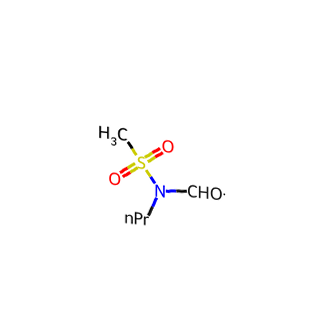 CCCN([C]=O)S(C)(=O)=O